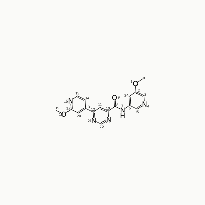 COc1cncc(NC(=O)c2cc(-c3ccnc(OC)c3)ncn2)c1